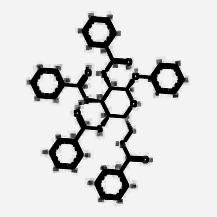 O=C(SC[C@H]1O[C@H](Oc2ccccc2)[C@H](SC(=O)c2ccccc2)[C@H](SC(=O)c2ccccc2)[C@@H]1SC(=O)c1ccccc1)c1ccccc1